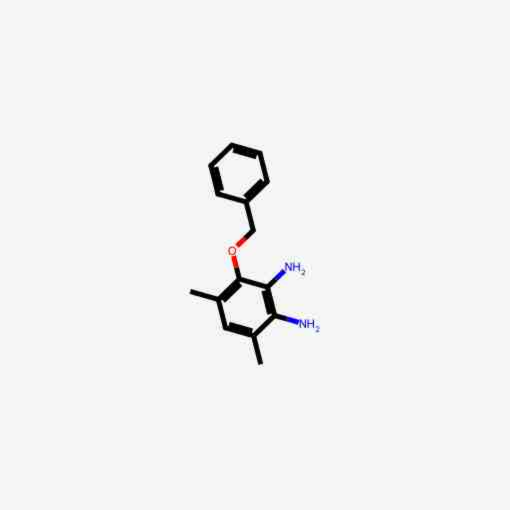 Cc1cc(C)c(OCc2ccccc2)c(N)c1N